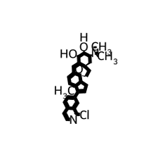 CN(C)[C@H]1C[C@@]23CC[C@@]4(O2)C(=CC[C@]2(C)C(c5ccc6ccnc(Cl)c6c5)=CCC24)C=C3[C@@H](O)[C@@H]1O